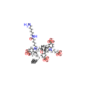 CC1(C)C(/C=C/C2=C(Oc3ccc(S(=O)(=O)[O-])cc3)C(=C/C=C3/N(CCCCS(=O)(=O)[O-])c4ccc(S(=O)(=O)[O-])cc4C3(C)C)/CCC2)=[N+](CCCCCC(=O)NCCCCCCN)c2ccc(S(=O)(=O)[O-])cc21.[Na+].[Na+].[Na+]